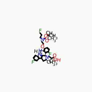 Cc1c(OCCN(CCCF)C(=O)OC(C)(C)C)ccc(F)c1[C@@H]1c2[nH]c3ccc(F)cc3c2C[C@@H](C)N1C[C@H](C)C(=O)O